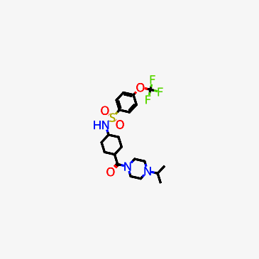 CC(C)N1CCN(C(=O)C2CCC(NS(=O)(=O)c3ccc(OC(F)(F)F)cc3)CC2)CC1